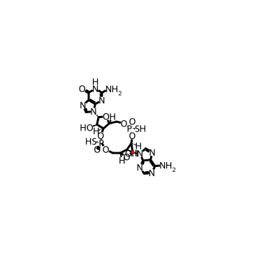 Nc1nc2c(ncn2[C@@H]2O[C@@H]3CO[P@](=O)(S)O[C@@H]4[C@H](O)[C@@H](CO[P@](=O)(S)O[C@H]3[C@H]2O)O[C@H]4n2cnc3c(N)ncnc32)c(=O)[nH]1